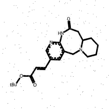 CC(C)(C)OC(=O)/C=C/c1cnc2c(c1)CN1CCCCC1CC(=O)N2